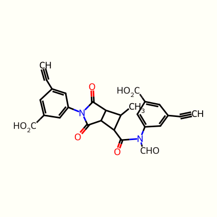 C#Cc1cc(C(=O)O)cc(N(C=O)C(=O)C2C(C)C3C(=O)N(c4cc(C#C)cc(C(=O)O)c4)C(=O)C23)c1